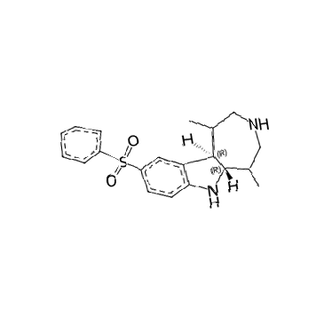 CC1CNCC(C)[C@@H]2c3cc(S(=O)(=O)c4ccccc4)ccc3N[C@@H]12